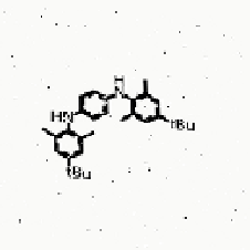 Cc1cc(C(C)(C)C)cc(C)c1Nc1ccc(Nc2c(C)cc(C(C)(C)C)cc2C)cc1